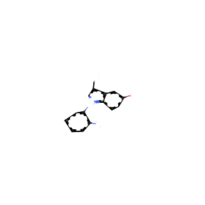 Cc1cn(-c2ccccc2N)c2ccc(Br)cc12